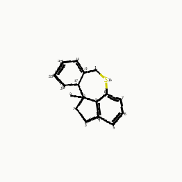 CC12CCc3cccc(c31)SCC1=CC=CCC12